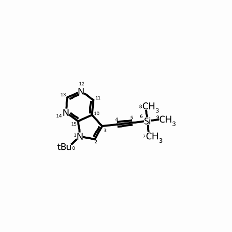 CC(C)(C)n1cc(C#C[Si](C)(C)C)c2cncnc21